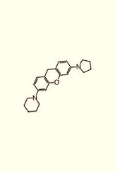 c1cc2c(cc1N1CCCCC1)Oc1cc(N3CCCC3)ccc1C2